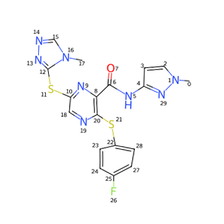 Cn1ccc(NC(=O)c2nc(Sc3nncn3C)cnc2Sc2ccc(F)cc2)n1